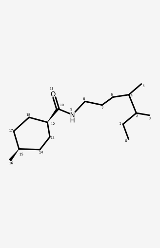 CCC(C)C(C)CCCNC(=O)[C@H]1CC[C@@H](C)CC1